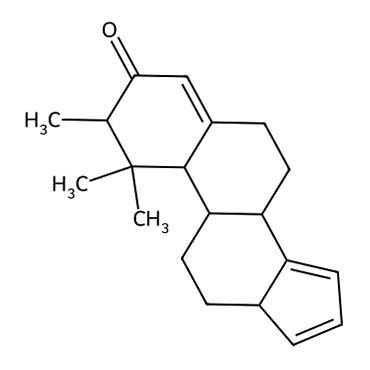 CC1C(=O)C=C2CCC3C4=CC=CC4CCC3C2C1(C)C